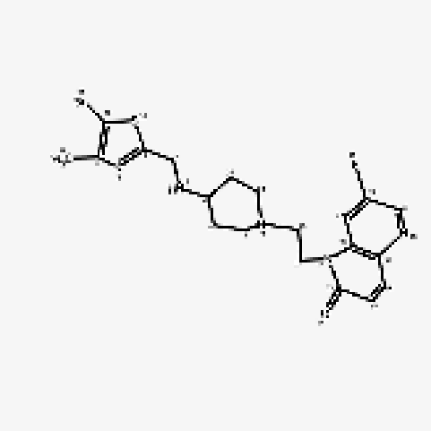 Cc1nc(CNC2CCN(CCn3c(=O)ccc4ncc(F)cc43)CC2)sc1Br